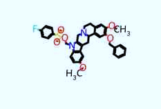 COc1ccc2c(c1)c1c(n2COS(=O)(=O)c2ccc(F)cc2)CN2CCc3cc(OC)c(OCc4ccccc4)cc3C2C1